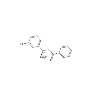 O=C(C[C@@H](C(=O)O)c1cccc(Cl)c1)c1ccccc1